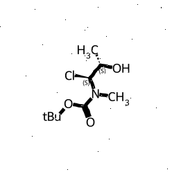 C[C@H](O)[C@H](Cl)N(C)C(=O)OC(C)(C)C